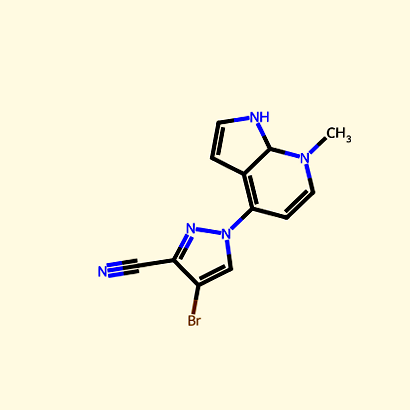 CN1C=CC(n2cc(Br)c(C#N)n2)=C2C=CNC21